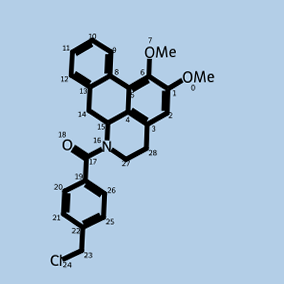 COc1cc2c3c(c1OC)-c1ccccc1CC3N(C(=O)c1ccc(CCl)cc1)CC2